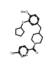 COc1ccc(CC2CCN(C(=O)c3ccc(Cl)nn3)CC2)cc1OC1CCCC1